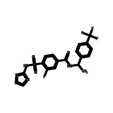 CC(NC(=O)c1ccc(S(=O)(=O)Nc2ncns2)c(F)c1)c1ccc(C(F)(F)F)cc1